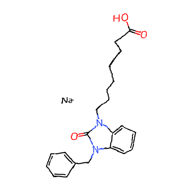 O=C(O)CCCCCCCn1c(=O)n(Cc2ccccc2)c2ccccc21.[Na]